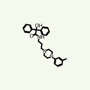 Cc1cccc(N2CCN(CCCNC(=O)C(O)(c3ccccc3)c3ccccc3)CC2)c1